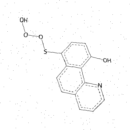 OOOSc1ccc(O)c2c1ccc1cccnc12